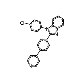 Clc1ccc(-n2c(-c3ccc(-c4ccncc4)cc3)nc3ccccc32)cc1